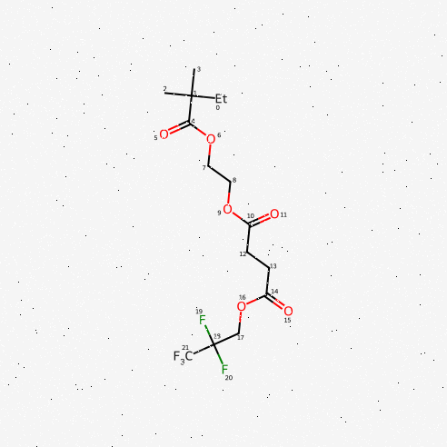 CCC(C)(C)C(=O)OCCOC(=O)CCC(=O)OCC(F)(F)C(F)(F)F